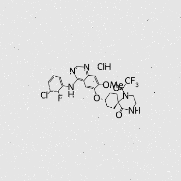 COc1cc2ncnc(Nc3cccc(Cl)c3F)c2cc1O[C@H]1CC[C@]2(CC1)C(=O)NCCN2C(=O)C(F)(F)F.Cl